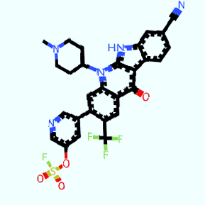 CN1CCC(n2c3cc(-c4cncc(OS(=O)(=O)F)c4)c(C(F)(F)F)cc3c(=O)c3c4ccc(C#N)cc4[nH]c32)CC1